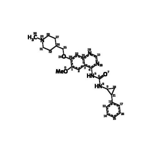 COc1cc2c(NC(=O)NC3CC3c3ccccc3)ncnc2cc1OCC1CCN(C)CC1